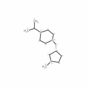 CC(C)N1CCN(C[C@@H]2CCN(C)C2)CC1